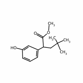 COC(=O)C(CC(C)(C)C)c1cccc(O)c1